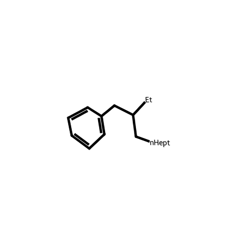 [CH2]CC(CCCCCCCC)Cc1ccccc1